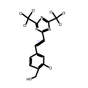 OCc1ccc(/C=C/c2nc(C(Cl)(Cl)Cl)nc(C(Cl)(Cl)Cl)n2)cc1Cl